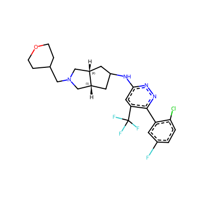 Fc1ccc(Cl)c(-c2nnc(NC3C[C@@H]4CN(CC5CCOCC5)C[C@@H]4C3)cc2C(F)(F)F)c1